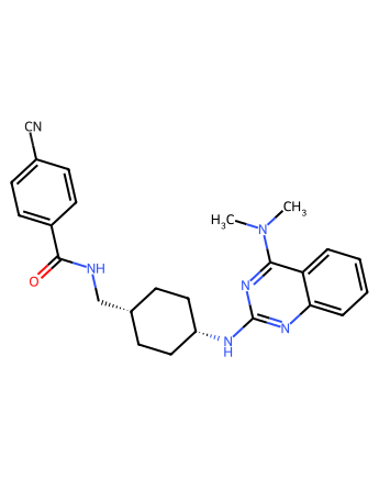 CN(C)c1nc(N[C@H]2CC[C@@H](CNC(=O)c3ccc(C#N)cc3)CC2)nc2ccccc12